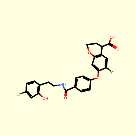 O=C(NCCc1ccc(Cl)cc1O)c1ccc(Oc2cc3c(cc2Cl)C(C(=O)O)CCO3)cc1